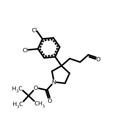 CC(C)(C)OC(=O)N1CCC(CCC=O)(c2ccc(Cl)c(Cl)c2)C1